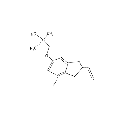 CC(C)(O)COc1cc(F)c2c(c1)CC(C=O)C2